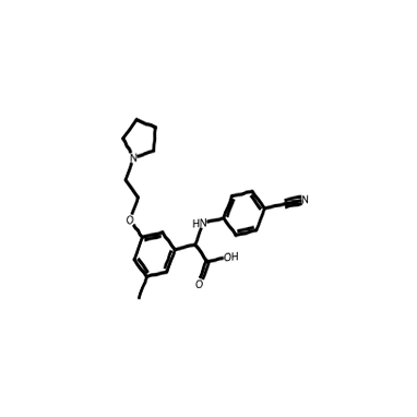 Cc1cc(OCCN2CCCC2)cc(C(Nc2ccc(C#N)cc2)C(=O)O)c1